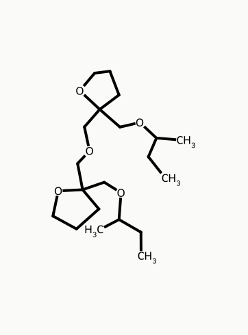 CCC(C)OCC1(COCC2(COC(C)CC)CCCO2)CCCO1